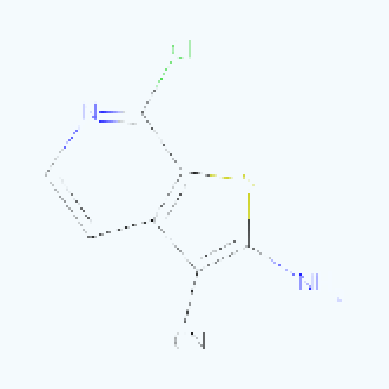 N#Cc1c(N)sc2c(Cl)nccc12